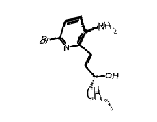 C[C@@H](O)CCc1nc(Br)ccc1N